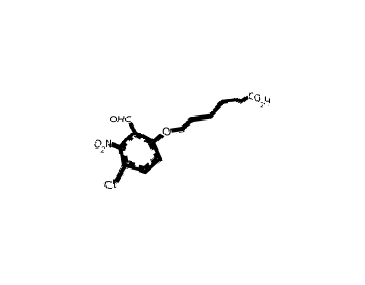 O=Cc1c(OCCCCCC(=O)O)ccc(Cl)c1[N+](=O)[O-]